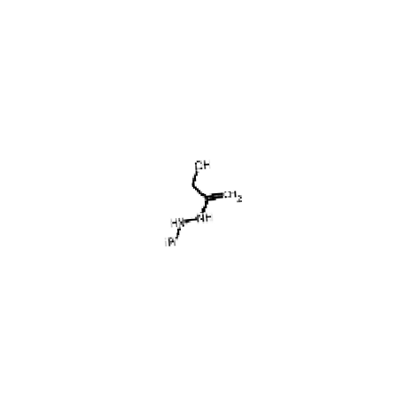 C=C(CO)NNC(C)C